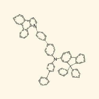 c1ccc(-c2ccc(N(c3ccc(-c4ccc(-n5ccc6c7ccccc7c7ccccc7c65)cc4)cc3)c3ccc4c(c3)C(c3ccccc3)(c3ccccc3)c3ccccc3-4)cc2)cc1